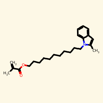 C=C(C)C(=O)OCCCCCCCCCCCn1c(C)cc2ccccc21